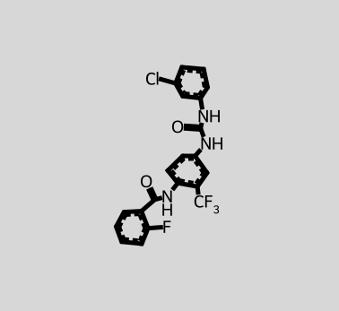 O=C(Nc1cccc(Cl)c1)Nc1ccc(NC(=O)c2ccccc2F)c(C(F)(F)F)c1